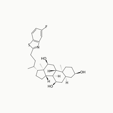 CC(CCc1nc2cc(F)ccc2s1)[C@H]1CC[C@H]2[C@@H]3[C@H](O)C[C@@H]4C[C@H](O)CC[C@]4(C)[C@H]3C[C@H](O)[C@]12C